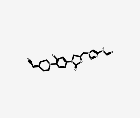 N#CC=C1CCN(c2ccc(N3CC(Cn4cc(NC=O)nn4)OC3=O)cc2F)CC1